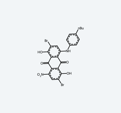 CCCCc1ccc(Nc2cc(Br)c(O)c3c2C(=O)c2c(O)c(Br)cc([N+](=O)[O-])c2C3=O)cc1